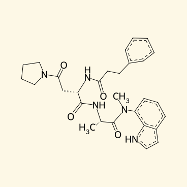 C[C@H](NC(=O)[C@H](CC(=O)N1CCCC1)NC(=O)CCc1ccccc1)C(=O)N(C)c1cccc2cc[nH]c12